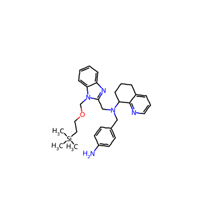 C[Si](C)(C)CCOCn1c(CN(Cc2ccc(N)cc2)C2CCCc3cccnc32)nc2ccccc21